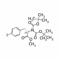 COC(=O)[C@H](Cc1ccc(I)cc1)N(C(=O)OC(C)(C)C)C(=O)OC(C)(C)C